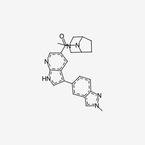 CN1CC2CCC(C1)N2C(=O)c1cnc2[nH]cc(-c3ccc4nn(C)cc4c3)c2c1